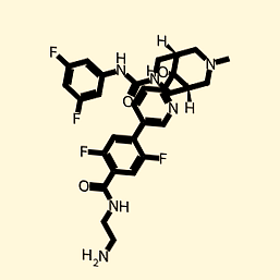 CN1C[C@@H]2CN(C(=O)Nc3cc(F)cc(F)c3)C[C@H](C1)[C@@]2(O)c1ccc(-c2cc(F)c(C(=O)NCCN)cc2F)cn1